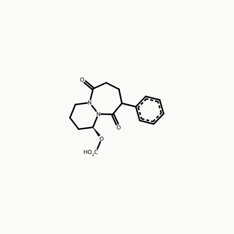 O=C(O)O[C@H]1CCCN2C(=O)CCC(c3ccccc3)C(=O)N12